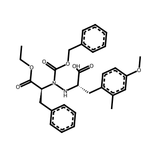 CCOC(=O)[C@H](Cc1ccccc1)N(N[C@@H](Cc1ccc(OC)cc1C)C(=O)O)C(=O)OCc1ccccc1